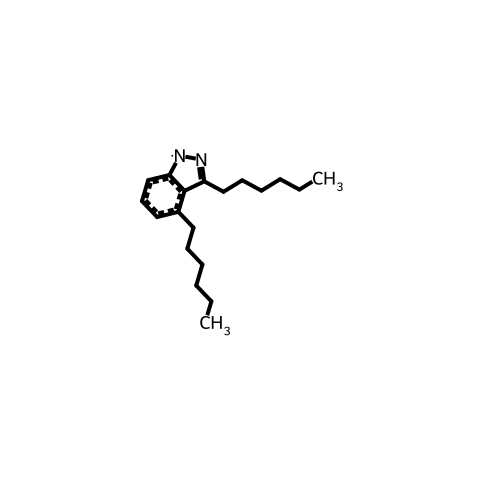 CCCCCCC1=N[N]c2cccc(CCCCCC)c21